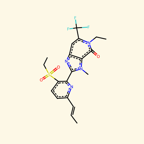 C/C=C/c1ccc(S(=O)(=O)CC)c(-c2nc3cc(C(F)(F)F)n(CC)c(=O)c3n2C)n1